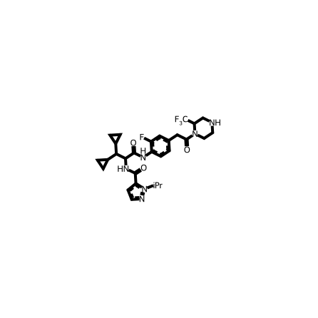 CC(C)n1nccc1C(=O)NC(C(=O)Nc1ccc(CC(=O)N2CCNCC2C(F)(F)F)cc1F)C(C1CC1)C1CC1